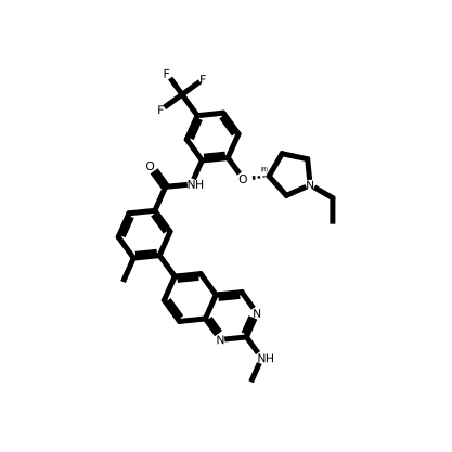 CCN1CC[C@@H](Oc2ccc(C(F)(F)F)cc2NC(=O)c2ccc(C)c(-c3ccc4nc(NC)ncc4c3)c2)C1